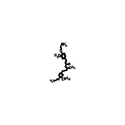 C=C(/C=C/c1ccc(OCCN)c(C)c1)CC(=O)/C=C/c1ccc(OCCN)c(C)c1